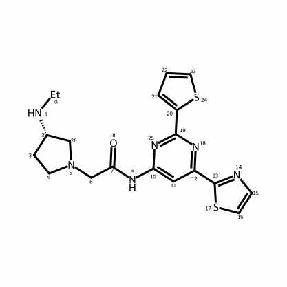 CCN[C@H]1CCN(CC(=O)Nc2cc(-c3nccs3)nc(-c3cccs3)n2)C1